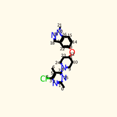 Cc1nc(Cl)c(C)c(N2CCC(Oc3ccc4c(cnn4C)c3)CC2)n1